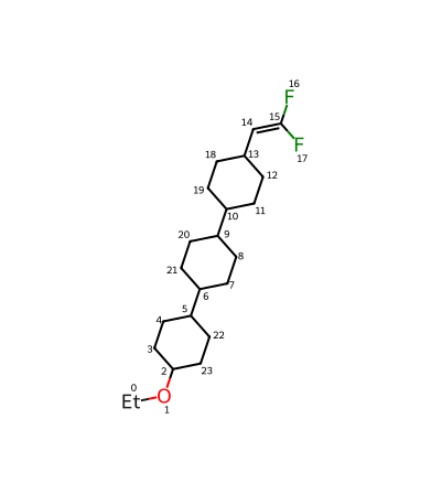 CCOC1CCC(C2CCC(C3CCC(C=C(F)F)CC3)CC2)CC1